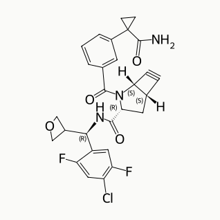 NC(=O)C1(c2cccc(C(=O)N3[C@@H](C(=O)N[C@@H](c4cc(F)c(Cl)cc4F)C4COC4)C[C@H]4C#C[C@H]43)c2)CC1